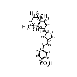 CC1(C)CCC(C)(C)c2cc(C3CCC(=CCc4ccc(C(=O)O)cc4)C3)ccc21